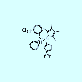 CCCC1=CC[C]([Zr+2]([CH]2C(C)=C(C)C(C)=C2C)[SiH](c2ccccc2)c2ccccc2)=C1.[Cl-].[Cl-]